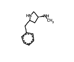 CN[C@@H]1CNC(Cc2ccccc2)C1